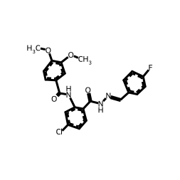 COc1ccc(C(=O)Nc2cc(Cl)ccc2C(=O)N/N=C/c2ccc(F)cc2)cc1OC